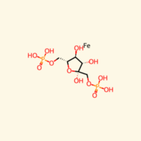 O=P(O)(O)OC[C@H]1O[C@](O)(COP(=O)(O)O)[C@@H](O)[C@@H]1O.[Fe]